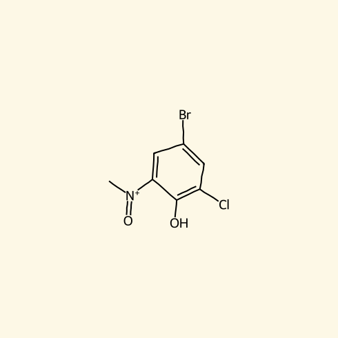 C[N+](=O)c1cc(Br)cc(Cl)c1O